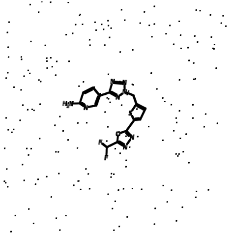 Nc1ccc(-c2nnn(Cc3ccc(-c4nnc(C(F)F)o4)s3)n2)cn1